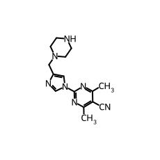 Cc1nc(-n2cnc(CN3CCNCC3)c2)nc(C)c1C#N